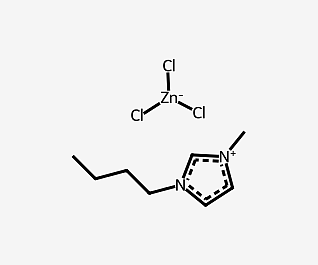 CCCCn1cc[n+](C)c1.[Cl][Zn-]([Cl])[Cl]